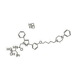 CC(C)CC(NC(=O)Cn1nc(-c2cccc(OCCCCCN3CCN(c4ccccc4)CC3)c2)cc1-c1ccccc1)B(O)O.Cl.Cl